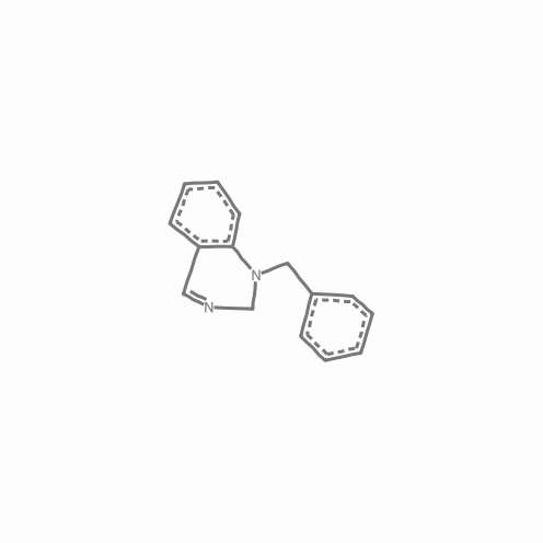 C1=NCN(Cc2ccccc2)c2ccccc21